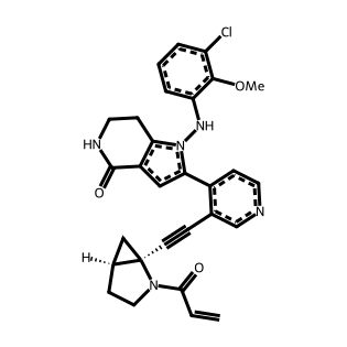 C=CC(=O)N1CC[C@H]2C[C@]21C#Cc1cnccc1-c1cc2c(n1Nc1cccc(Cl)c1OC)CCNC2=O